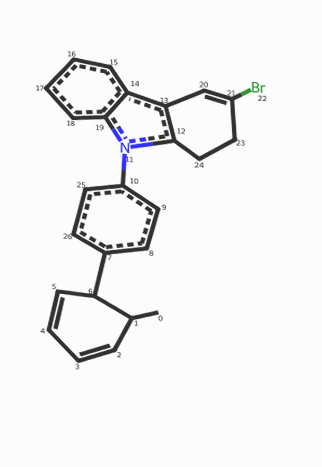 CC1C=CC=CC1c1ccc(-n2c3c(c4ccccc42)C=C(Br)CC3)cc1